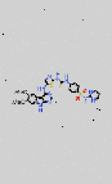 COc1cc2[nH]c3ncnc(Nc4cnc(NC(=S)Nc5ccc(S(=O)(=O)Nc6ncccn6)cc5)s4)c3c2cc1OC